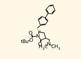 CN(C)CC1C[C@@H](Cc2ccc(-c3ccccc3)cc2)N(C(=O)OC(C)(C)C)C1=O